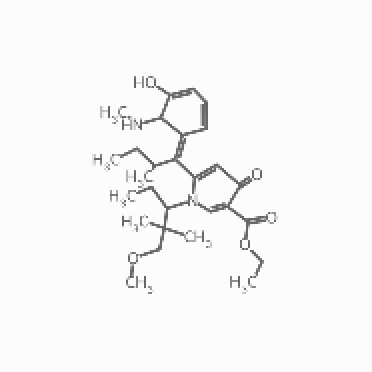 CCOC(=O)c1cn(C(CC)C(C)(C)COC)c(/C(=C2\C=CC=C(O)C2NC)C(C)CC)cc1=O